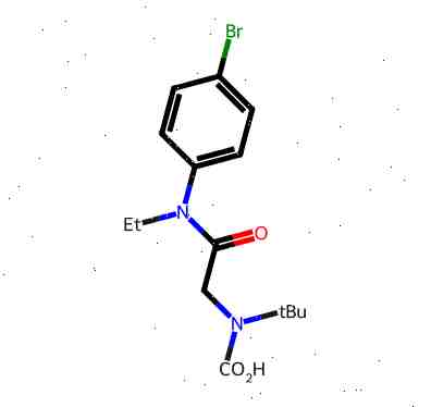 CCN(C(=O)CN(C(=O)O)C(C)(C)C)c1ccc(Br)cc1